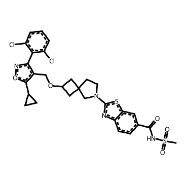 CS(=O)(=O)NC(=O)c1ccc2nc(N3CCC4(CC(OCc5c(-c6c(Cl)cccc6Cl)noc5C5CC5)C4)C3)sc2c1